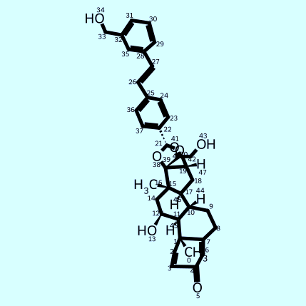 C[C@]12C=CC(=O)C=C1CC[C@@H]1[C@@H]2[C@@H](O)C[C@@]2(C)[C@H]1C[C@H]1O[C@@H](c3ccc(/C=C/c4cccc(CO)c4)cc3)O[C@]12C(=O)CO